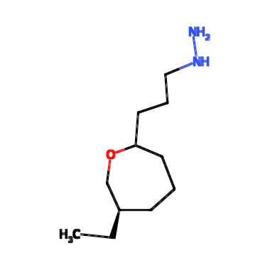 CC[C@@H]1CCCC(CCCNN)OC1